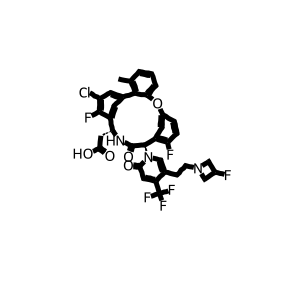 Cc1cccc2c1-c1cc(Cl)c(F)c(c1)[C@@H](CC(=O)O)NC(=O)[C@@H](n1cc(CCN3CC(F)C3)c(C(F)(F)F)cc1=O)c1cc(ccc1F)O2